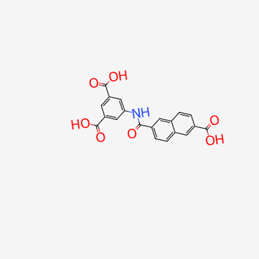 O=C(O)c1cc(NC(=O)c2ccc3cc(C(=O)O)ccc3c2)cc(C(=O)O)c1